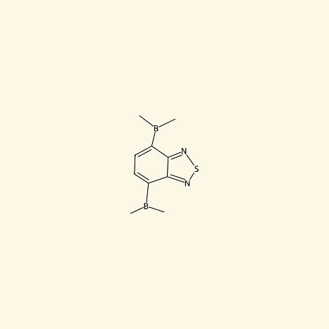 CB(C)c1ccc(B(C)C)c2nsnc12